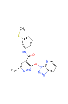 CSc1cccc(NC(=O)c2cc(C)nnc2On2nnc3cccnc32)c1